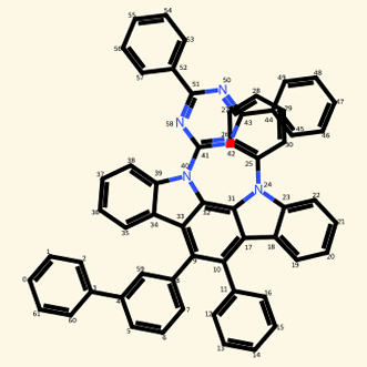 c1ccc(-c2cccc(-c3c(-c4ccccc4)c4c5ccccc5n(-c5ccccc5)c4c4c3c3ccccc3n4-c3nc(-c4ccccc4)nc(-c4ccccc4)n3)c2)cc1